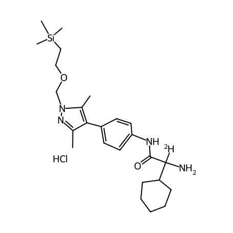 Cl.[2H]C(N)(C(=O)Nc1ccc(-c2c(C)nn(COCC[Si](C)(C)C)c2C)cc1)C1CCCCC1